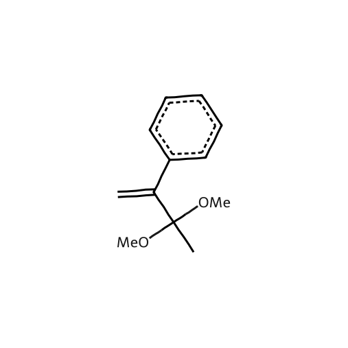 C=C(c1ccccc1)C(C)(OC)OC